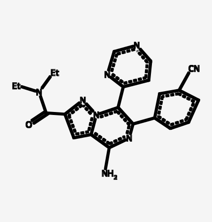 CCN(CC)C(=O)c1cc2c(N)nc(-c3cccc(C#N)c3)c(-c3ccncn3)n2n1